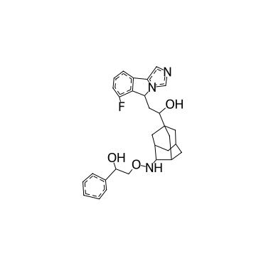 OC(CONC1C2CC3CC1CC(C(O)CC1c4c(F)cccc4-c4cncn41)(C3)C2)c1ccccc1